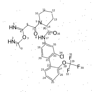 CC(=N)OC(=N)CC(=O)N1CCCC[C@@H]1C(=O)Nc1ccc(-c2ccccc2OC(F)(F)F)c(Cl)c1